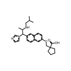 CC(C)CNC(C)C(c1ccc2cc(OCC3(C(=O)O)CCCC3)ccc2c1)n1ccnc1